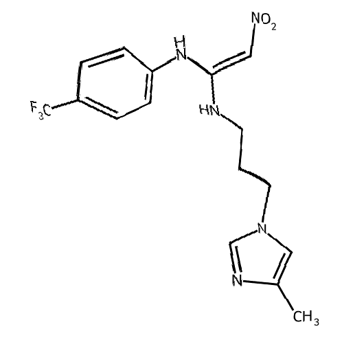 Cc1cn(CCCN/C(=C/[N+](=O)[O-])Nc2ccc(C(F)(F)F)cc2)cn1